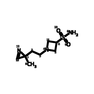 CC1(CCN2CC(S(N)(=O)=O)C2)C=N1